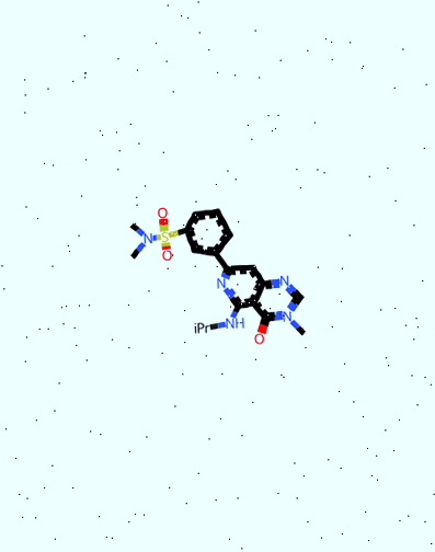 CC(C)Nc1nc(-c2cccc(S(=O)(=O)N(C)C)c2)cc2ncn(C)c(=O)c12